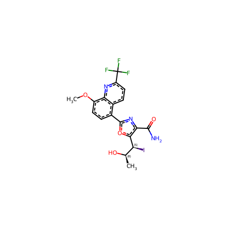 COc1ccc(-c2nc(C(N)=O)c([C@@H](I)[C@@H](C)O)o2)c2ccc(C(F)(F)F)nc12